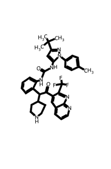 Cc1ccc(-n2nc(C(C)(C)C)cc2NC(=O)Nc2ccccc2C(C(=O)c2cc3cccnc3nc2C(F)(F)F)C2CCNCC2)cc1